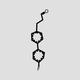 O=CCCc1ccc(-c2ccc(F)cc2)cc1